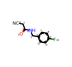 N#CCC(=O)NCc1ccc(F)cc1